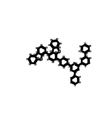 c1ccc(-c2cc(-c3cccc(-c4ccccn4)c3)nc(-c3ccc(-c4ccc(-c5cccc6c5oc5ccccc56)c5c4oc4ccccc45)cc3)n2)cc1